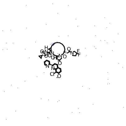 COc1ccc2c(O[C@@H]3C[C@H]4C(=O)N[C@]5(C(=O)NS(=O)(=O)C6CC6)CC5/C=C\CCCCC[C@H](CC(=O)N5CCC(F)(F)C5)C(=O)N4C3)cc(-c3ccccn3)nc2c1Cl